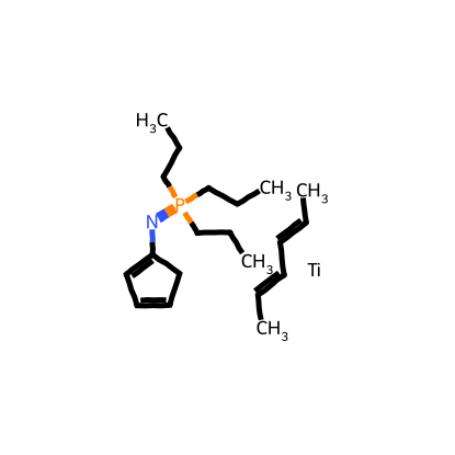 CC=CC=CC.CCCP(CCC)(CCC)=NC1=CC=CC1.[Ti]